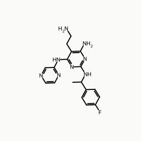 CC(Nc1nc(N)c(CCN)c(Nc2cnccn2)n1)c1ccc(F)cc1